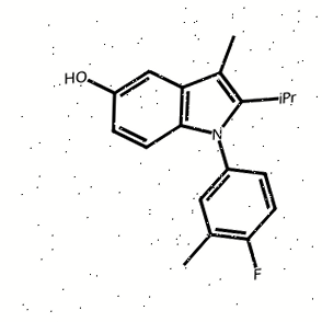 Cc1cc(-n2c(C(C)C)c(C)c3cc(O)ccc32)ccc1F